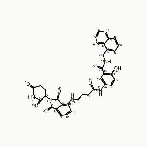 O=C1CCC(N2C(=O)c3cccc(NCCCC(=O)Nc4ccc(O)c(C(=O)NCc5cccc6cccnc56)c4)c3C2=O)C(=O)N1